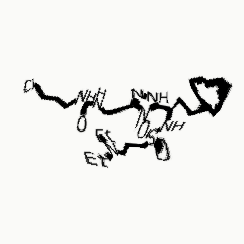 CCN(CC)CCCS(=O)(=O)N[C@H](CCc1ccccc1)c1nc(CNC(=O)NCCCCl)n[nH]1